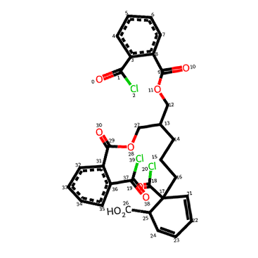 O=C(Cl)c1ccccc1C(=O)OCC(CCCC1(C(=O)Cl)C=CC=CC1C(=O)O)COC(=O)c1ccccc1C(=O)Cl